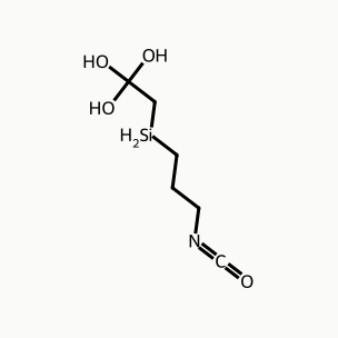 O=C=NCCC[SiH2]CC(O)(O)O